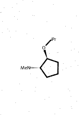 CN[C@H]1CCC[C@@H]1OC(C)C